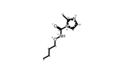 CCCCONC(=O)n1ccnc1C